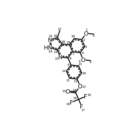 COc1cc(OC)c2c(-c3ccc(OC(=O)C(F)(F)F)cc3)nc3[nH]nc(C)c3c2c1